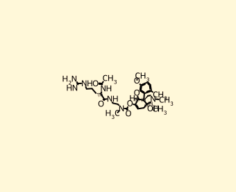 COc1ccc(C)c2c1O[C@H]1C(OC(=O)N(C)CCNC(=O)[C@H](CCCNC(=N)N)NC(C)=O)=CC[C@@]3(O)[C@@H](C)N(C)CC[C@]213